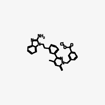 C=C1C=C(C)C(c2cccc(CCn3c(N)nc4ccccc43)c2)=NN1Cc1cccc(C(=O)OCl)c1